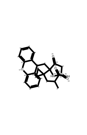 CC(CC1(C2(CC3c4ccccc4Oc4ccccc43)N[N+](=O)CC2=O)CC1)C(=O)O